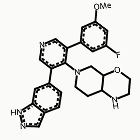 COc1cc(F)cc(-c2cncc(-c3ccc4cn[nH]c4c3)c2N2CCC3NCCOC3C2)c1